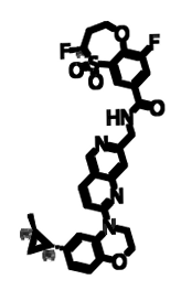 C[C@@H]1C[C@H]1c1ccc2c(c1)N(c1ccc3cnc(CNC(=O)c4cc(F)c5c(c4)S(=O)(=O)[C@@H](F)CCO5)cc3n1)CCO2